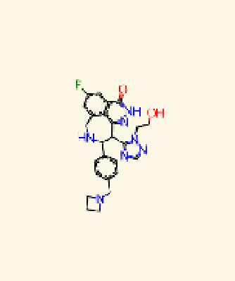 O=c1[nH]nc2c3c(cc(F)cc13)CNC(c1ccc(CN3CCC3)cc1)C2c1ncnn1CCO